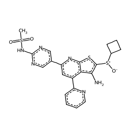 CS(=O)(=O)Nc1ncc(-c2cc(-c3ccccn3)c3c(N)c([S+]([O-])C4CCC4)sc3n2)cn1